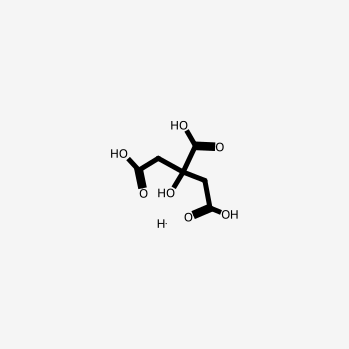 O=C(O)CC(O)(CC(=O)O)C(=O)O.[H]